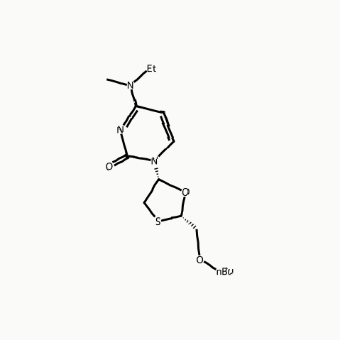 CCCCOC[C@H]1O[C@@H](n2ccc(N(C)CC)nc2=O)CS1